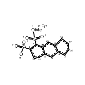 COS(=O)(=O)c1c(S(=O)(=O)[O-])ccc2cc3ccccc3cc12.[Fr+]